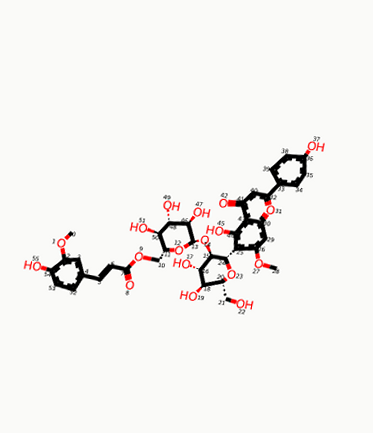 COc1cc(/C=C/C(=O)OC[C@H]2O[C@@H](O[C@@H]3[C@@H](O)[C@H](O)[C@@H](CO)O[C@H]3c3c(OC)cc4oc(-c5ccc(O)cc5)cc(=O)c4c3O)[C@H](O)[C@@H](O)[C@@H]2O)ccc1O